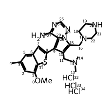 COc1cc(C)cc2cc(-c3c(CN(C)C)c(CN4CCNCC4)n4ncnc(N)c34)sc12.Cl.Cl.Cl